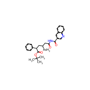 CC(C)(C)OC(=O)C(CC([AsH2])CC(=O)NC(=O)c1cnc2ccccc2c1)c1ccccc1